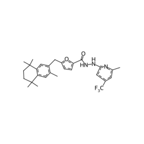 Cc1cc(C(F)(F)F)cc(NNC(=O)c2ccc(Cc3cc4c(cc3C)C(C)(C)CCC4(C)C)o2)n1